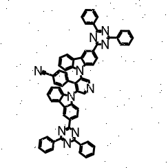 N#Cc1ccc(-c2c(-n3c4ccccc4c4cc(-c5nc(-c6ccccc6)nc(-c6ccccc6)n5)ccc43)cncc2-n2c3ccccc3c3cc(-c4nc(-c5ccccc5)nc(-c5ccccc5)n4)ccc32)cc1